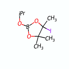 CC(C)OB1OC(C)(C)C(C)(I)O1